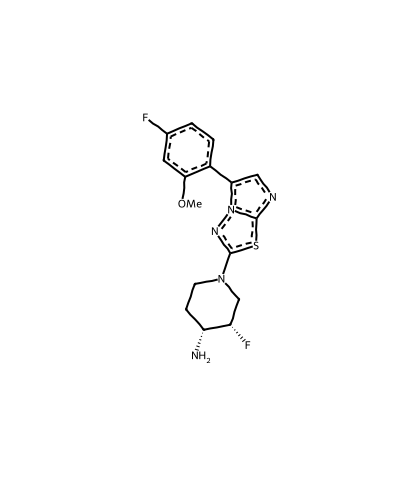 COc1cc(F)ccc1-c1cnc2sc(N3CC[C@@H](N)[C@@H](F)C3)nn12